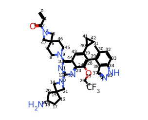 C=CC(=O)N1CC2(CCN(c3nc(N4CC5(CC[C@H](N)C5)C4)nc4c(OCC(F)(F)F)c(-c5c(C)ccc6[nH]ncc56)c(C5CC5)cc34)CC2)C1